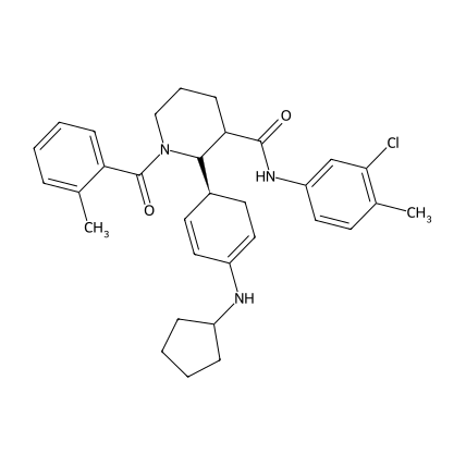 Cc1ccc(NC(=O)C2CCCN(C(=O)c3ccccc3C)C2[C@@H]2C=CC(NC3CCCC3)=CC2)cc1Cl